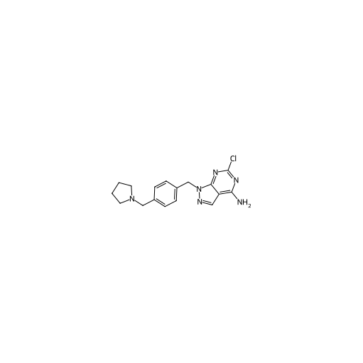 Nc1nc(Cl)nc2c1cnn2Cc1ccc(CN2CCCC2)cc1